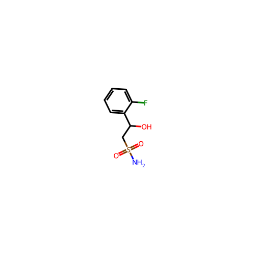 NS(=O)(=O)CC(O)c1ccccc1F